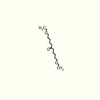 CCOCCCCCC(=O)CCCCCOCC